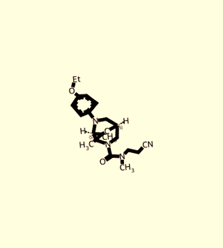 CCOc1ccc(N2C[C@H]3CN(C(=O)N(C)CCC#N)C[C@@H]2C(C)(C)C3)cc1